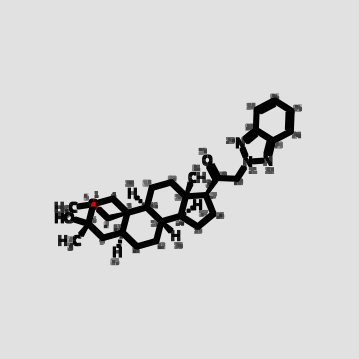 COC[C@]12CC[C@@](C)(O)C[C@@H]1CC[C@H]1[C@@H]3CC[C@H](C(=O)Cn4nc5ccccc5n4)[C@@]3(C)CC[C@@H]12